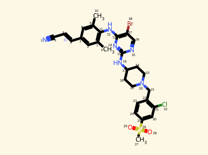 Cc1cc(/C=C/C#N)cc(C)c1Nc1nc(NC2CCN(Cc3ccc(S(C)(=O)=O)cc3Cl)CC2)ncc1Br